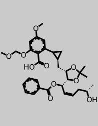 COCOc1cc(OC)cc(C2C[C@H]2C[C@@H]2OC(C)(C)O[C@@H]2C(/C=C\C[C@H](C)O)OC(=O)c2ccccc2)c1C(=O)O